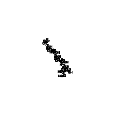 N[C@@H](CCC(=O)N[C@@H](CCC(=O)N[C@@H](CCC(=O)N[C@@H](CCC(=O)N[C@@H](CCC(=O)N[C@@H](CCC(=O)O)C(=O)N[C@@H](CCC(=O)O)C(=O)O)C(=O)O)C(=O)O)C(=O)O)C(=O)O)C(=O)O